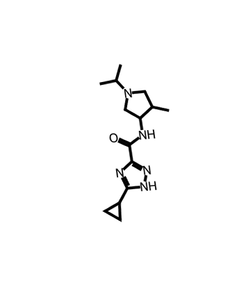 CC1CN(C(C)C)CC1NC(=O)c1n[nH]c(C2CC2)n1